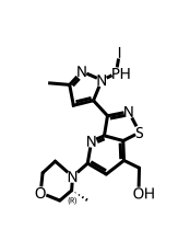 Cc1cc(-c2nsc3c(CO)cc(N4CCOC[C@H]4C)nc23)n(PI)n1